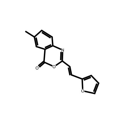 Cc1ccc2nc(C=Cc3ccco3)oc(=O)c2c1